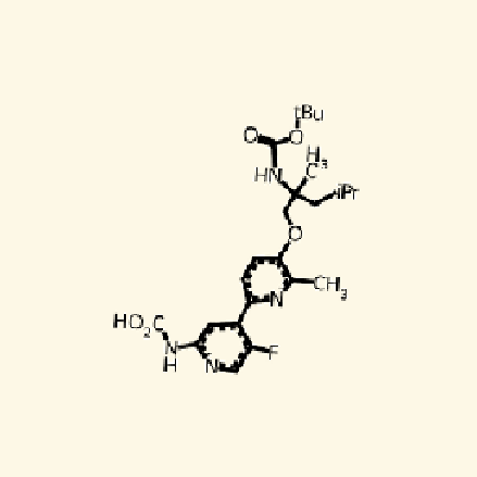 Cc1nc(-c2cc(NC(=O)O)ncc2F)ccc1OCC(C)(CC(C)C)NC(=O)OC(C)(C)C